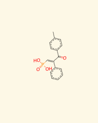 Cc1ccc(C(=O)C(=CP(=O)(O)O)c2ccccc2)cc1